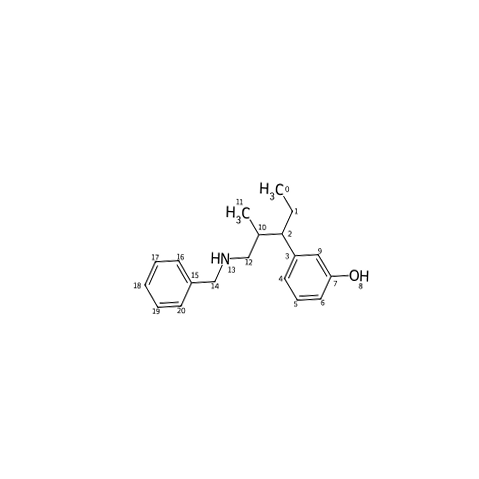 CCC(c1cccc(O)c1)C(C)CNCc1ccccc1